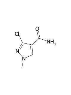 Cn1cc(C(N)=O)c(Cl)n1